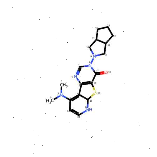 CN(C)C1=C2c3ncn(N4CC5CCCC5C4)c(=O)c3SC2NC=C1